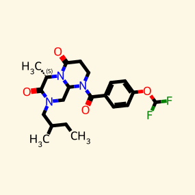 CCC(C)CN1CC2N(C(=O)c3ccc(OC(F)F)cc3)CCC(=O)N2[C@@H](C)C1=O